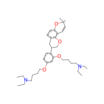 CCN(CC)CCCCOc1ccc(C2COc3c(ccc4c3C=CC(C)(C)O4)C2)c(OCCCCN(CC)CC)c1